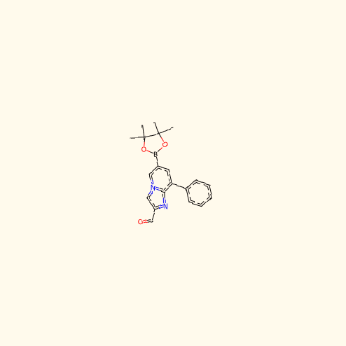 CC1(C)OB(c2cc(-c3ccccc3)c3nc(C=O)cn3c2)OC1(C)C